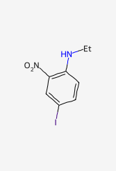 CCNc1ccc(I)cc1[N+](=O)[O-]